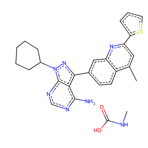 CNC(=O)O.Cc1cc(-c2cccs2)nc2cc(-c3nn(C4CCCCC4)c4ncnc(N)c34)ccc12